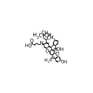 CC(CC(C)(C)C)c1cc2c(-c3ccccc3C(=O)O)c3cc(Cl)c(N(C)c4ccc(O)cc4)cc3oc-2c/c1=N\CCCC(=O)O